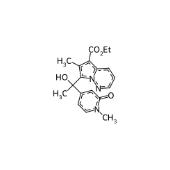 CCOC(=O)c1c(C)c(C(C)(O)c2ccn(C)c(=O)c2)n2ncccc12